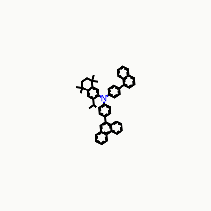 CC(C)c1cc2c(cc1N(c1ccc(-c3cccc4ccccc34)cc1)c1ccc(-c3cc4ccccc4c4ccccc34)cc1)C(C)(C)CCC2(C)C